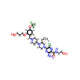 CC[C@H]1CN(c2nc(N)c(C(=O)NCCO)nc2Cl)CCN1C1CCN(Cc2ccc(OC(F)(F)F)cc2OCCCO)CC1